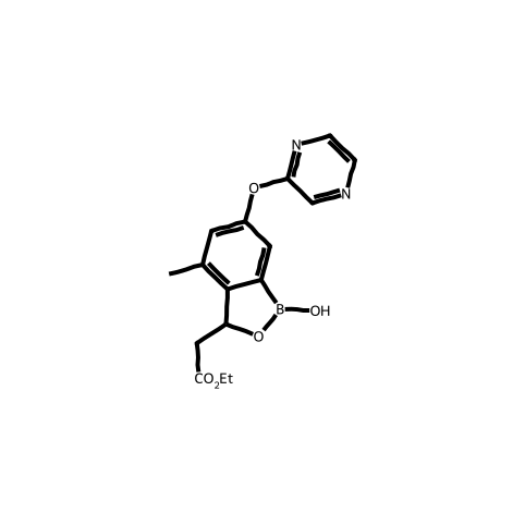 CCOC(=O)CC1OB(O)c2cc(Oc3cnccn3)cc(C)c21